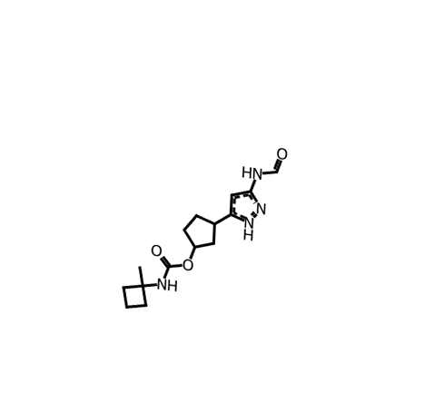 CC1(NC(=O)OC2CCC(c3cc(NC=O)n[nH]3)C2)CCC1